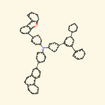 c1ccc(-c2cc(-c3ccccc3)cc(-c3ccc(N(c4ccc(-c5ccc6c(ccc7ccccc76)c5)cc4)c4ccc(-c5cccc6c5oc5ccccc56)cc4)cc3)c2)cc1